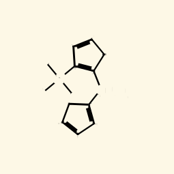 [CH3][Pb]([CH3])([CH3])[C]1=[C]([Hf][C]2=CC=CC2)CC=C1.[H-].[H-]